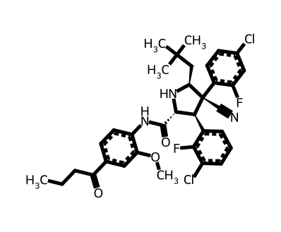 CCCC(=O)c1ccc(NC(=O)[C@@H]2N[C@@H](CC(C)(C)C)[C@](C#N)(c3ccc(Cl)cc3F)[C@H]2c2cccc(Cl)c2F)c(OC)c1